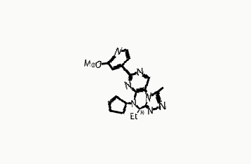 CC[C@@H]1c2nnc(C)n2-c2cnc(-c3ccnc(OC)c3)nc2N1C1CCCC1